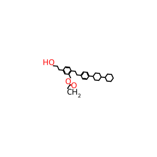 C=CC(=O)OCc1cc(CCCO)ccc1CCc1ccc(C2CCC(C3CCCCC3)CC2)cc1